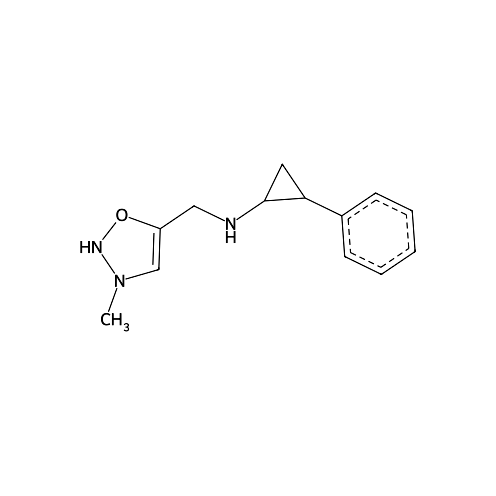 CN1C=C(CNC2CC2c2ccccc2)ON1